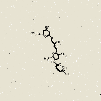 C/C(=C\C[C@@H]1O[C@H](C)[C@H](NC(=O)/C=C\[C@H](C)O)C[C@@H]1C)CC[C@@H]1C[C@]2(CO2)C[C@@H](CC(=O)O)O1